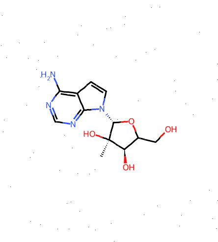 C[C@@]1(O)[C@H](O)C(CO)O[C@H]1n1ccc2c(N)ncnc21